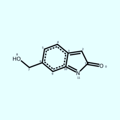 O=C1C=c2ccc(CO)cc2=N1